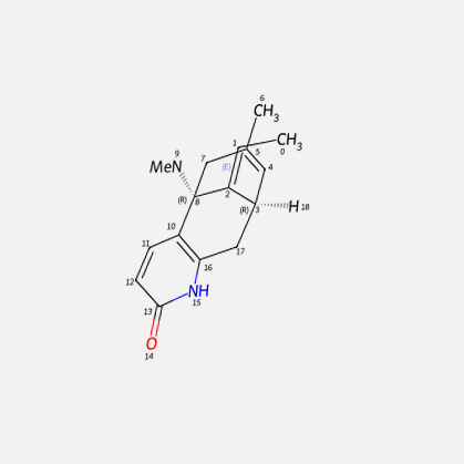 C/C=C1\[C@H]2C=C(C)C[C@]1(NC)c1ccc(=O)[nH]c1C2